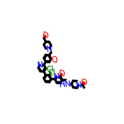 COCC1CCN(Cc2ccc(-c3nccc(-c4cccc(-c5ccc(CNC6CCN(C(C)=O)CC6)c(OC)n5)c4Cl)c3Cl)cc2OC)CC1